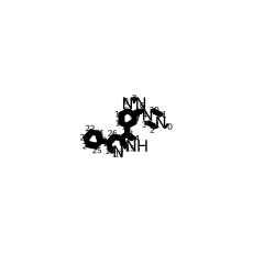 CN1CCN(c2ncnc3ccc(-c4c[nH]c5ncc(-c6ccccc6)cc45)cc23)CC1